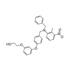 Cc1c(N(Cc2ccccc2)Cc2ccc(Oc3cccc(OCCO)c3)cc2)cccc1[N+](=O)[O-]